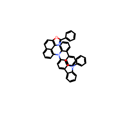 c1ccc(-c2nc3c(ccc4cccc(N(c5ccc6c7ccccc7n(-c7ccccc7)c6c5)c5ccccc5-c5ccccc5)c43)o2)cc1